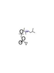 C/C(=C\CC(C)C)C(C)OC(C)(C)COC(=O)C1CC1